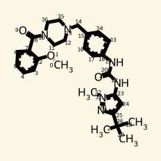 COc1ccccc1C(=O)N1CCN(Cc2ccc(NC(=O)Nc3cc(C(C)(C)C)nn3C)cc2)CC1